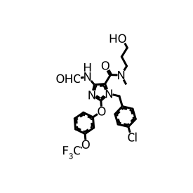 CN(CCCO)C(=O)c1c(NC=O)nc(Oc2cccc(OC(F)(F)F)c2)n1Cc1ccc(Cl)cc1